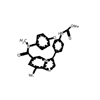 COC(=O)Nc1ccc(-c2cnc3c(C#N)cc(C(=O)N(C)c4ccc(Cl)cc4)cn23)cc1